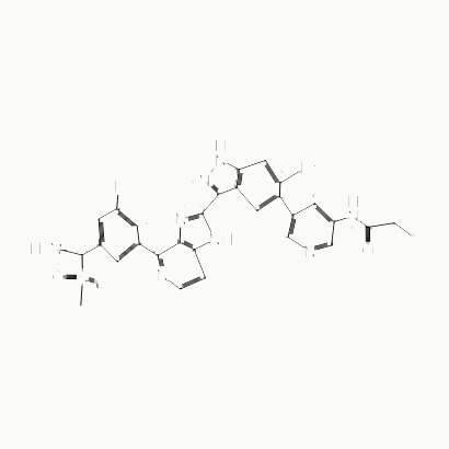 CCC(=O)Nc1cncc(-c2cc3c(-c4nc5c(-c6cc(F)cc(C(N)S(C)(=O)=O)c6)nccc5[nH]4)n[nH]c3cc2F)c1